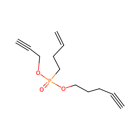 C#CCCCOP(=O)(CCC=C)OCC#C